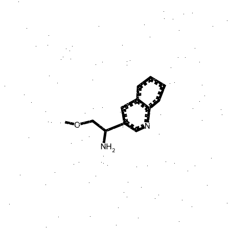 COCC(N)c1cnc2ccccc2c1